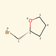 BrC[C@H]1CCCO1